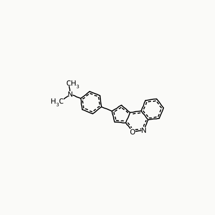 CN(C)c1ccc(-c2cc3onc4ccccc4c-3c2)cc1